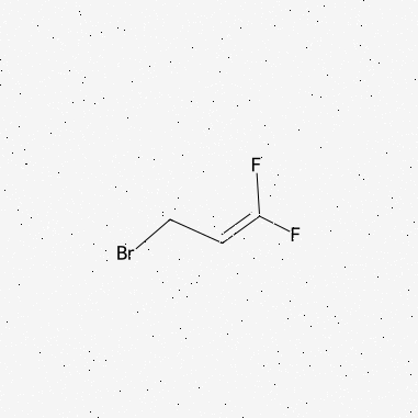 FC(F)=CCBr